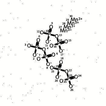 O=P([O-])([O-])OP(=O)([O-])[O-].O=P([O-])([O-])OP(=O)([O-])[O-].O=P([O-])([O-])OP(=O)([O-])[O-].[Mn+3].[Mn+3].[Mn+3].[Mn+3]